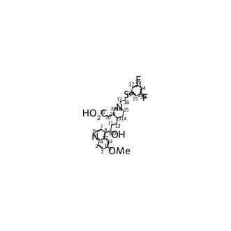 COc1ccc2nccc(C(O)CC[C@@H]3CCN(CCSc4cc(F)cc(F)c4)C[C@@H]3CC(=O)O)c2c1